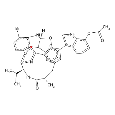 CC(=O)Oc1cccc2c(-c3cnc(-c4nc5oc4C46c7cc(ccc7O[C@@H]4Nc4c(Br)cccc46)C[C@H](C)C(=O)N[C@H]5C(C)C)o3)c[nH]c12